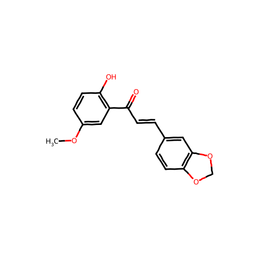 COc1ccc(O)c(C(=O)/C=C/c2ccc3c(c2)OCO3)c1